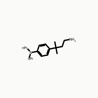 CCCN(CCC)c1ccc(C(C)(C)CCN)cc1